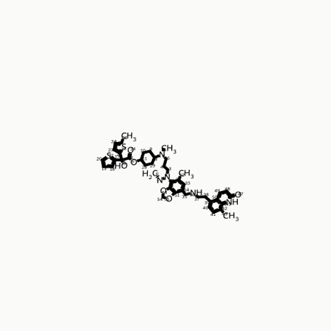 C=NN(CCCN(C)C1CCC(OC(=O)C(O)(c2cccs2)c2ccc(C)s2)CC1)c1c(C)cc(CNCCc2ccc(C)c3[nH]c(=O)ccc23)c2c1OCO2